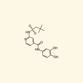 CC(C)(C)CS(=O)(=O)Nc1cc(C(=O)Nc2ccc(O)c(O)c2)ccn1